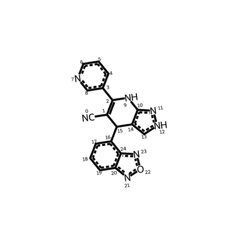 N#CC1=C(c2cccnc2)Nc2n[nH]cc2C1c1cccc2nonc12